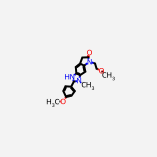 COCCN1C(=O)Cc2cc3c(cc21)N(C)C(c1ccc(OC)cc1)N3